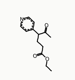 CCOC(=O)CCC(C(C)=O)c1ccncc1